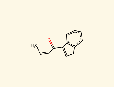 C/C=C\C(=O)C1=CCc2ccccc21